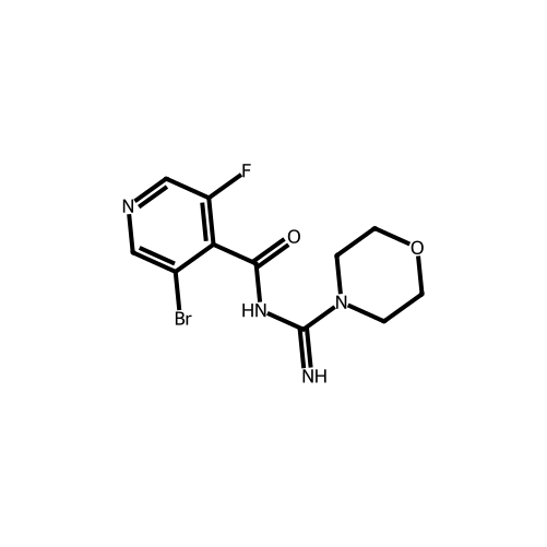 N=C(NC(=O)c1c(F)cncc1Br)N1CCOCC1